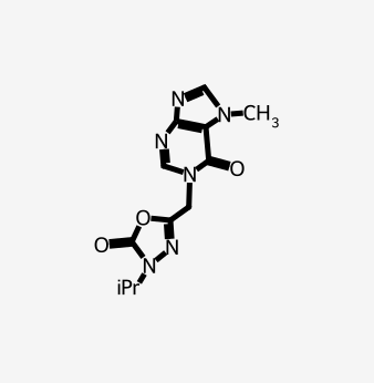 CC(C)n1nc(Cn2cnc3ncn(C)c3c2=O)oc1=O